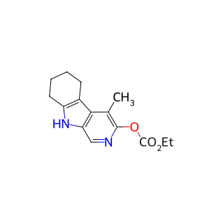 CCOC(=O)Oc1ncc2[nH]c3c(c2c1C)CCCC3